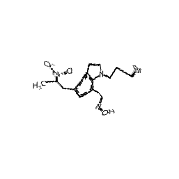 CC(Cc1cc(C=NO)c2c(c1)CCN2CCCBr)[N+](=O)[O-]